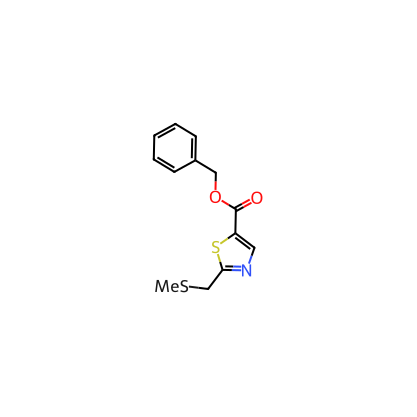 CSCc1ncc(C(=O)OCc2ccccc2)s1